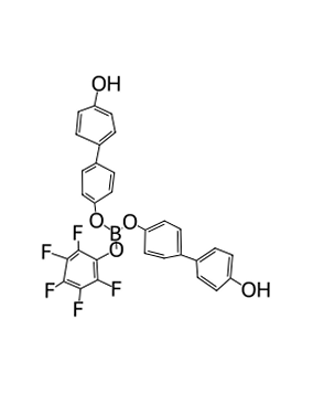 Oc1ccc(-c2ccc(OB(Oc3ccc(-c4ccc(O)cc4)cc3)Oc3c(F)c(F)c(F)c(F)c3F)cc2)cc1